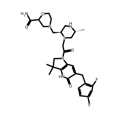 C[C@@H]1CN(CC(=O)N2CC(C)(C)c3[nH]c(=O)c(Cc4ccc(F)cc4F)cc32)[C@@H](CN2CCOC(C(N)=O)C2)CN1